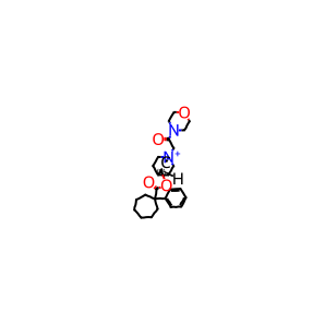 O=C(C[N+]12CCC(CC1)[C@@H](OC(=O)C1(c3ccccc3)CCCCCC1)C2)N1CCOCC1